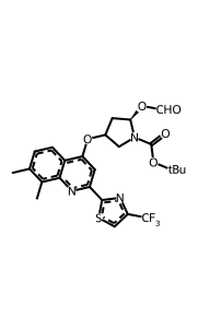 Cc1ccc2c(OC3C[C@@H](OC=O)N(C(=O)OC(C)(C)C)C3)cc(-c3nc(C(F)(F)F)cs3)nc2c1C